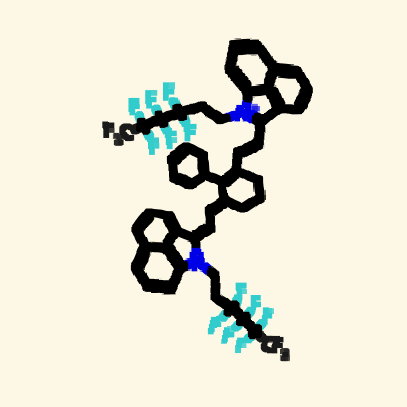 FC(F)(F)C(F)(F)C(F)(F)C(F)(F)CCn1/c(=C/C=C2\CCCC(/C=C/C3=[N+](CCC(F)(F)C(F)(F)C(F)(F)C(F)(F)F)c4cccc5cccc3c45)=C2c2ccccc2)c2cccc3cccc1c32